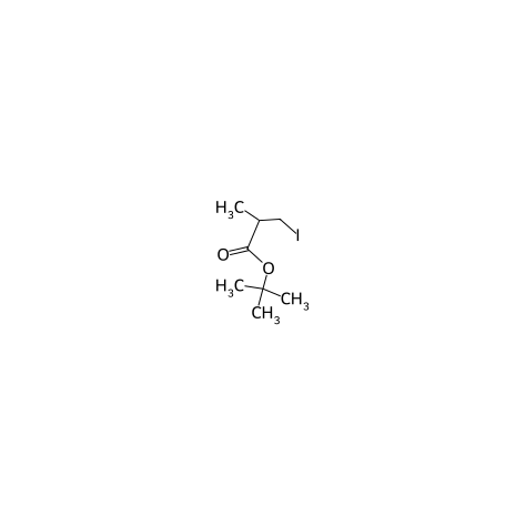 CC(CI)C(=O)OC(C)(C)C